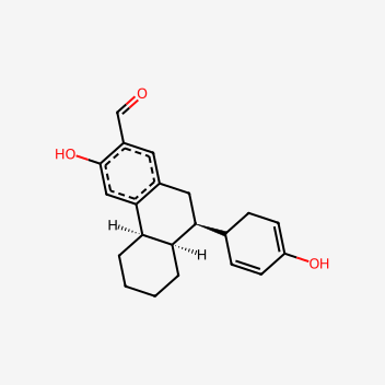 O=Cc1cc2c(cc1O)[C@@H]1CCCC[C@@H]1[C@H](C1C=CC(O)=CC1)C2